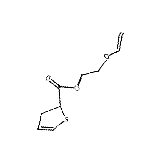 C=COCCOC(=O)C1CC=CS1